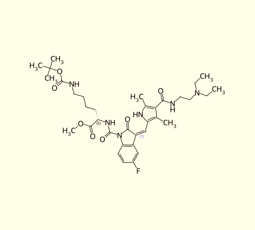 CCN(CC)CCNC(=O)c1c(C)[nH]c(/C=C2\C(=O)N(C(=O)N[C@@H](CCCCNC(=O)OC(C)(C)C)C(=O)OC)c3ccc(F)cc32)c1C